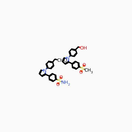 CS(=O)(=O)c1ccc(-c2cccn2-c2ccc(CO)cc2)cc1.NS(=O)(=O)c1ccc(-c2cccn2-c2ccc(CC=O)cc2)cc1